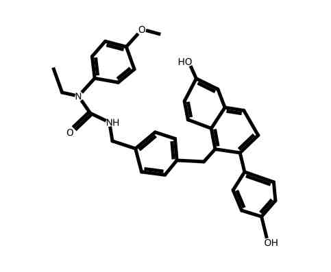 CCN(C(=O)NCc1ccc(Cc2c(-c3ccc(O)cc3)ccc3cc(O)ccc23)cc1)c1ccc(OC)cc1